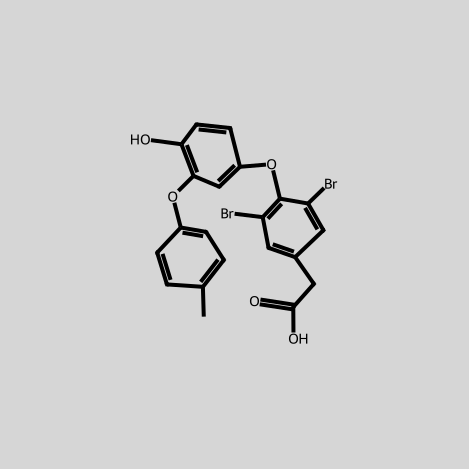 Cc1ccc(Oc2cc(Oc3c(Br)cc(CC(=O)O)cc3Br)ccc2O)cc1